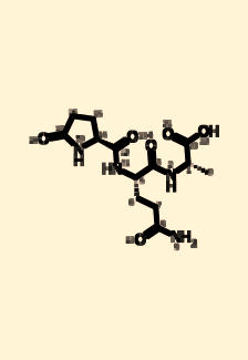 C[C@H](NC(=O)[C@H](CCC(N)=O)NC(=O)[C@@H]1CCC(=O)N1)C(=O)O